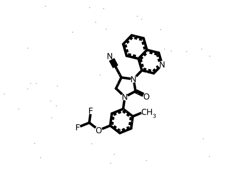 Cc1ccc(OC(F)F)cc1N1CC(C#N)N(c2cncc3ccccc23)C1=O